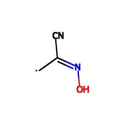 [CH2]C(C#N)=NO